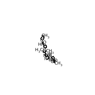 CCS(=O)(=O)N1CCC(Nc2c(Br)cnc3nc(-c4cc(C)n(-c5cccc(NC(=O)CN6CCN(C)CC6)c5)c4C)[nH]c23)C1